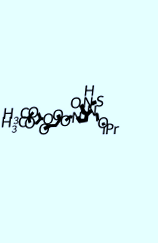 CC(C)OCCn1c(=S)[nH]c(=O)c2c1ccn2COC(=O)CC(=O)OC1COC(C)(C)OC1